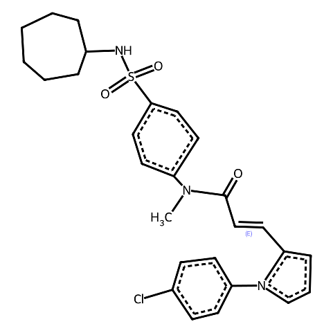 CN(C(=O)/C=C/c1cccn1-c1ccc(Cl)cc1)c1ccc(S(=O)(=O)NC2CCCCCC2)cc1